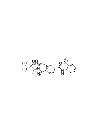 CC(C)(C)C12CCC(CN1C(=O)O)N(c1ccc(C(=O)Nc3ccccc3N)cn1)C2